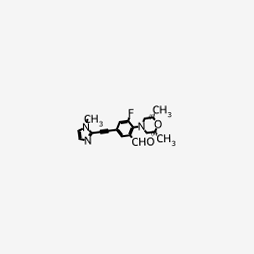 C[C@@H]1CN(c2c(F)cc(C#Cc3nccn3C)cc2C=O)C[C@H](C)O1